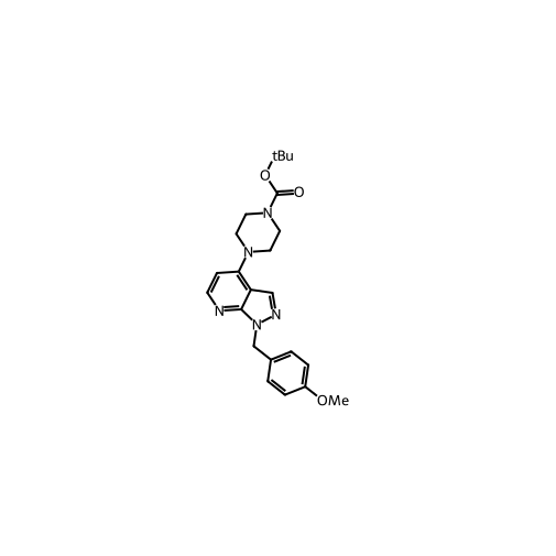 COc1ccc(Cn2ncc3c(N4CCN(C(=O)OC(C)(C)C)CC4)ccnc32)cc1